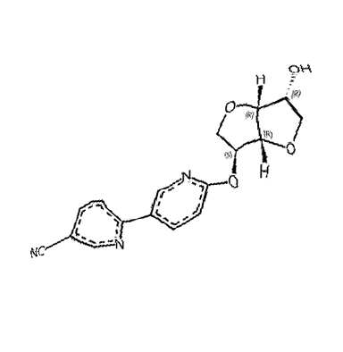 N#Cc1ccc(-c2ccc(O[C@H]3CO[C@H]4[C@@H]3OC[C@H]4O)nc2)nc1